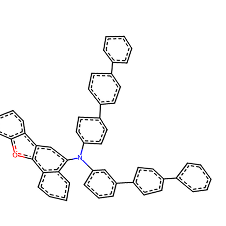 c1ccc(-c2ccc(-c3ccc(N(c4cccc(-c5ccc(-c6ccccc6)cc5)c4)c4cc5c6ccccc6oc5c5ccccc45)cc3)cc2)cc1